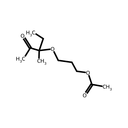 CCC(C)(OCCCOC(C)=O)C(C)=O